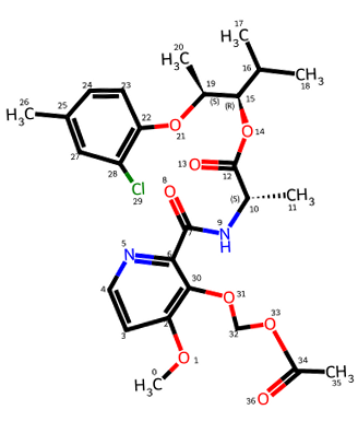 COc1ccnc(C(=O)N[C@@H](C)C(=O)O[C@H](C(C)C)[C@H](C)Oc2ccc(C)cc2Cl)c1OCOC(C)=O